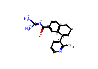 Cc1ncccc1C1=CCCc2ccc(C(=O)N=C(N)N)cc21